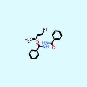 C=CC=CCC.O=C(NNC(=O)c1ccccc1)c1ccccc1